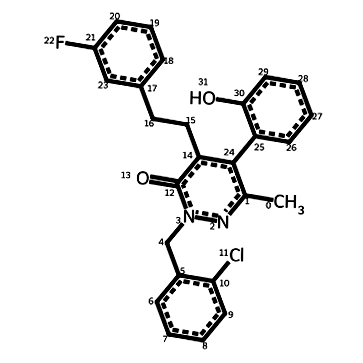 Cc1nn(Cc2ccccc2Cl)c(=O)c(CCc2cccc(F)c2)c1-c1ccccc1O